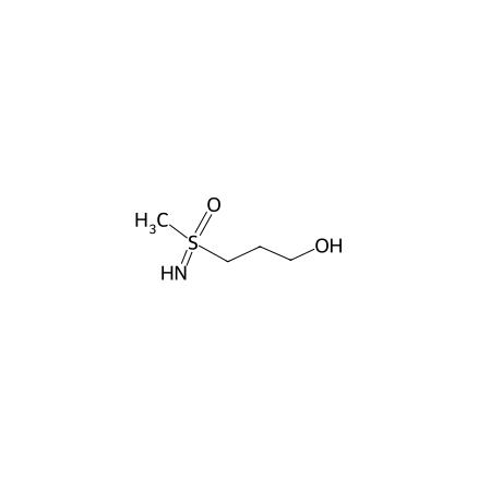 CS(=N)(=O)CCCO